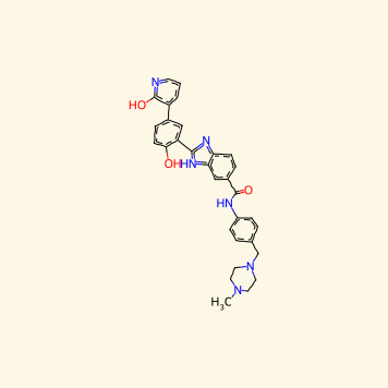 CN1CCN(Cc2ccc(NC(=O)c3ccc4nc(-c5cc(-c6cccnc6O)ccc5O)[nH]c4c3)cc2)CC1